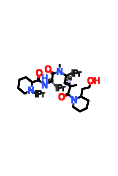 C/C(=C\[C@H](C(C)C)N(C)C(=O)[C@@H](NC(=O)C1CCCCN1C(C)C)C(C)C)C(=O)N1CCCCC1CCO